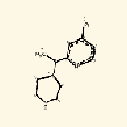 CC(C)c1ccnc(C(C)N2CCSCC2)c1